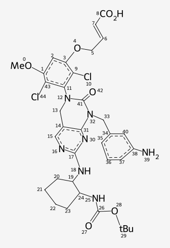 COc1cc(OC/C=C/C(=O)O)c(Cl)c(N2Cc3cnc(NC4CCCCC4NC(=O)OC(C)(C)C)nc3N(Cc3cccc(N)c3)C2=O)c1Cl